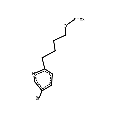 CCCCCCOCCCCc1ccc(Br)cn1